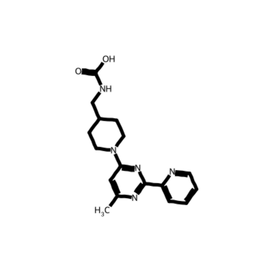 Cc1cc(N2CCC(CNC(=O)O)CC2)nc(-c2ccccn2)n1